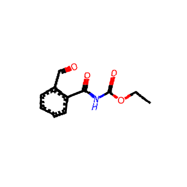 CCOC(=O)NC(=O)c1ccccc1C=O